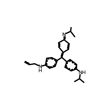 C=CCNc1ccc(C(=C2C=CC(=NC(C)C)C=C2)c2ccc(NC(C)C)cc2)cc1